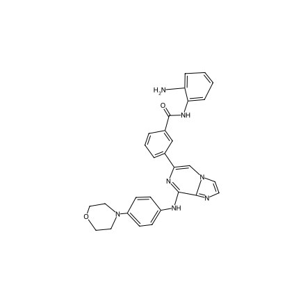 Nc1ccccc1NC(=O)c1cccc(-c2cn3ccnc3c(Nc3ccc(N4CCOCC4)cc3)n2)c1